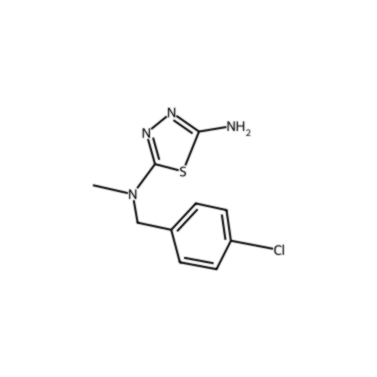 CN(Cc1ccc(Cl)cc1)c1nnc(N)s1